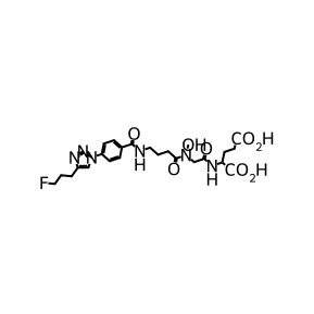 O=C(O)CCC(NC(=O)CN(O)C(=O)CCCNC(=O)c1ccc(-n2cc(CCCF)nn2)cc1)C(=O)O